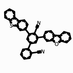 N#Cc1ccccc1-c1cc(-c2ccc3c(c2)oc2ccccc23)c(C#N)c(-c2ccc3c(c2)sc2ccccc23)c1